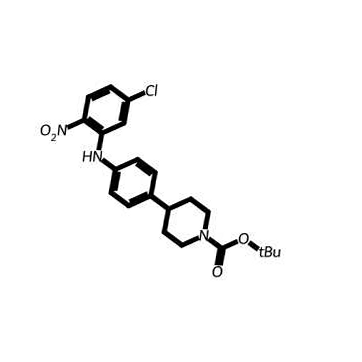 CC(C)(C)OC(=O)N1CCC(c2ccc(Nc3cc(Cl)ccc3[N+](=O)[O-])cc2)CC1